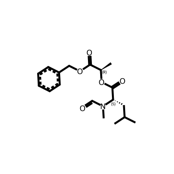 CC(C)C[C@@H](C(=O)O[C@H](C)C(=O)OCc1ccccc1)N(C)C=O